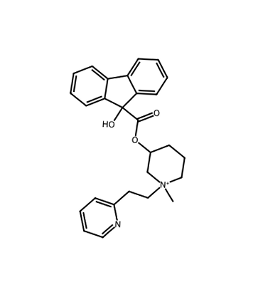 C[N+]1(CCc2ccccn2)CCCC(OC(=O)C2(O)c3ccccc3-c3ccccc32)C1